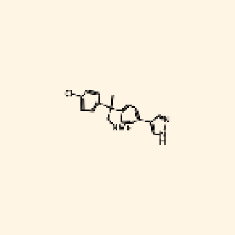 CNCC(C)(c1ccc(Cl)cc1)c1ccc(-c2cn[nH]c2)cc1